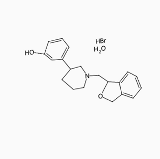 Br.O.Oc1cccc(C2CCCN(CC3OCc4ccccc43)C2)c1